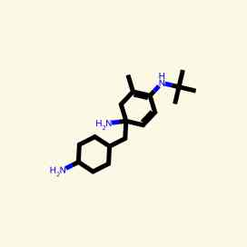 CC1=C(NC(C)(C)C)C=CC(N)(CC2CCC(N)CC2)C1